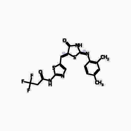 Cc1ccc(/N=C2/NC(=O)/C(=C/c3cnc(NC(=O)CC(F)(F)F)s3)S2)c(C)c1